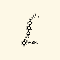 CCCCCC1CCC(c2ccc(-c3ccc(OCCCC4CCCCC4CCCCC)cc3)cc2)CC1